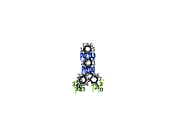 FC(F)(F)c1ccc(-c2nc3cc4nc5ccccc5nc4cc3nc2-c2ccc(C(F)(F)F)cc2)cc1